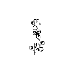 O=C(Nc1ccccc1N1CCOCC1F)C1C2CN(S(=O)(=O)c3ccc(OC(F)(F)F)cc3)CC21